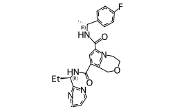 CC[C@@H](NC(=O)c1cc(C(=O)N[C@H](C)c2ccc(F)cc2)n2c1COCC2)c1ncccn1